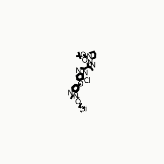 Cc1nn(C2CCCCN2C(=O)OC(C)(C)C)cc1-c1cnc2ccc(Oc3ccc4nc(C)n(COCC[Si](C)(C)C)c4c3)c(Cl)c2n1